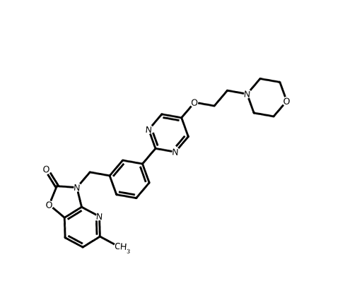 Cc1ccc2oc(=O)n(Cc3cccc(-c4ncc(OCCN5CCOCC5)cn4)c3)c2n1